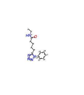 CCNC(=O)CCCCc1nnnn1-c1ccccc1